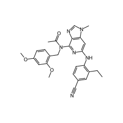 CCc1cc(C#N)ccc1Nc1cc2c(ncn2C)c(N(Cc2ccc(OC)cc2OC)C(C)=O)n1